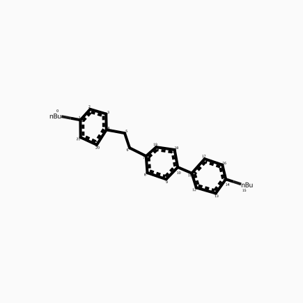 CCCCc1ccc(CCc2ccc(-c3ccc(CCCC)cc3)cc2)cc1